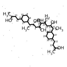 C=C(C[C@@H](O)[C@H](C)C1CCCC(CC[C@H](C)O)C1)C(O)C(=C)C[C@@H](O)[C@H](C)C1CCCC(CC[C@H](C)O)C1